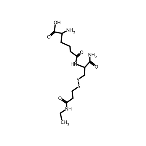 CCNC(=O)CCSSCC(NC(=O)CCCC(N)C(=O)O)C(N)=O